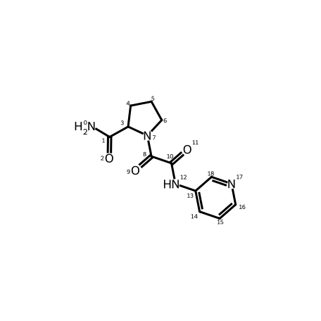 NC(=O)C1CCCN1C(=O)C(=O)Nc1cccnc1